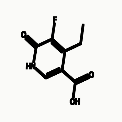 CCc1c(C(=O)O)c[nH]c(=O)c1F